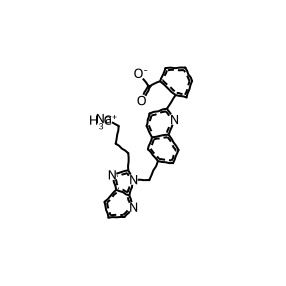 CCCCc1nc2cccnc2n1Cc1ccc2nc(-c3ccccc3C(=O)[O-])ccc2c1.[Na+]